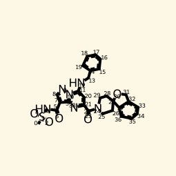 CS(=O)(=O)NC(=O)c1cnn2c(NCc3ccccc3)cc(C(=O)N3CCC4(CC3)OCc3ccccc34)nc12